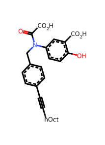 CCCCCCCCC#Cc1ccc(CN(C(=O)C(=O)O)c2ccc(O)c(C(=O)O)c2)cc1